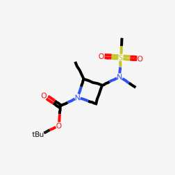 CC1C(N(C)S(C)(=O)=O)CN1C(=O)OC(C)(C)C